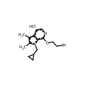 Cc1c(C)n(CC2CC2)c2c(OCCC(C)C)nccc12.Cl